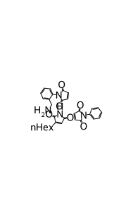 CCCCCCC1=CC(=O)NC1=O.NCc1ccccc1N1C(=O)C=CC1=O.O=C1C=CC(=O)N1c1ccccc1